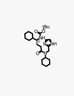 CC(C)(C)OC(=O)N[C@@H](CCC(=O)N(Cc1ncc[nH]1)C1CCCCC1)C1CCCCC1